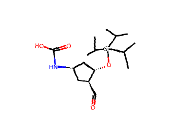 CC(C)[Si](O[C@H]1C[C@H](NC(=O)O)C[C@@H]1C=O)(C(C)C)C(C)C